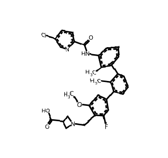 COc1cc(-c2cccc(-c3cccc(NC(=O)c4ccc(Cl)cn4)c3C)c2C)cc(F)c1CN1CC(C(=O)O)C1